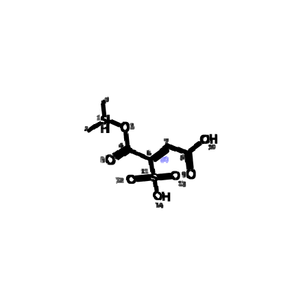 C[SiH](C)OC(=O)/C(=C/C(=O)O)S(=O)(=O)O